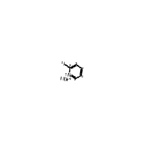 Br.Ic1ccccn1